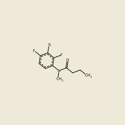 CCCC(=O)N(C)c1ccc(F)[c]([Ti])c1F